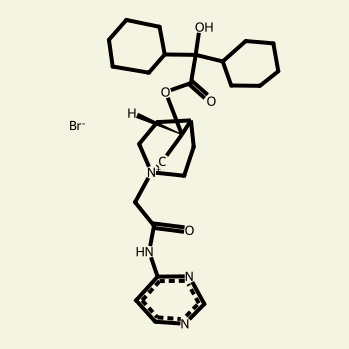 O=C(C[N+]12CCC(CC1)[C@@H](OC(=O)C(O)(C1CCCCC1)C1CCCCC1)C2)Nc1ccncn1.[Br-]